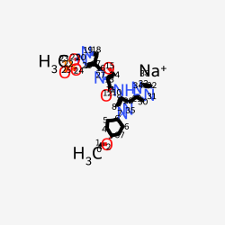 CCO[C@H]1CC[C@H](n2cc(NC(=O)c3coc(-c4cnn(OP(C)(=O)[O-])c4)n3)c(-c3cnccn3)n2)CC1.[Na+]